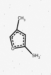 Cc1coc([SiH2])c1